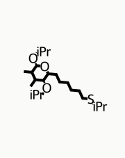 CC(C)O[C@H]1OC(CCCCCCSC(C)C)[C@@H](OC(C)C)C(C)C1C